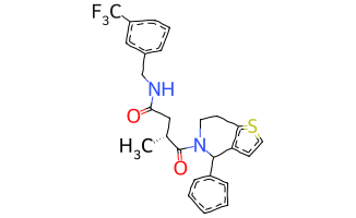 C[C@H](CC(=O)NCc1cccc(C(F)(F)F)c1)C(=O)N1CCc2sccc2C1c1ccccc1